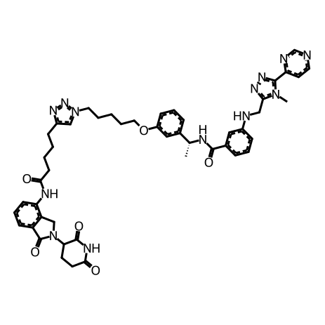 C[C@@H](NC(=O)c1cccc(NCc2nnc(-c3ccncn3)n2C)c1)c1cccc(OCCCCCn2cc(CCCCC(=O)Nc3cccc4c3CN(C3CCC(=O)NC3=O)C4=O)nn2)c1